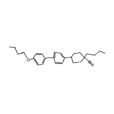 CCCCOc1ccc(-c2ccc(C3CCC(C#N)(CCCC)CC3)cc2)cc1